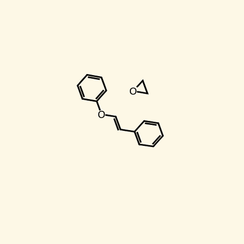 C(=Cc1ccccc1)Oc1ccccc1.C1CO1